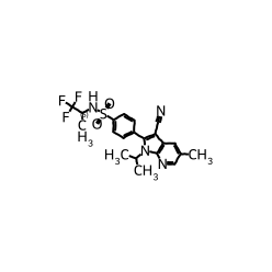 Cc1cnc2c(c1)c(C#N)c(-c1ccc(S(=O)(=O)N[C@@H](C)C(F)(F)F)cc1)n2C(C)C